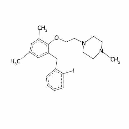 Cc1cc(C)c(OCCN2CCN(C)CC2)c(Cc2ccccc2I)c1